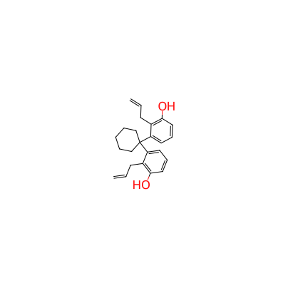 C=CCc1c(O)cccc1C1(c2cccc(O)c2CC=C)CCCCC1